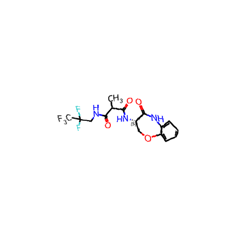 CC(C(=O)NCC(F)(F)C(F)(F)F)C(=O)N[C@H]1COc2ccccc2NC1=O